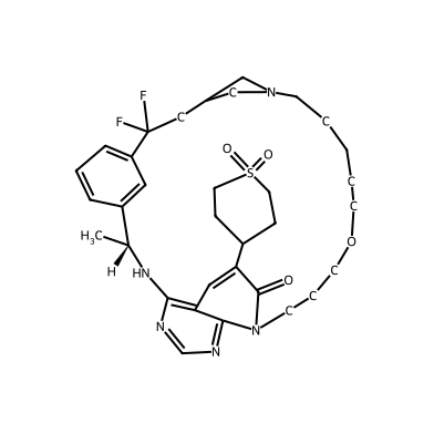 C[C@H]1Nc2ncnc3c2cc(C2CCS(=O)(=O)CC2)c(=O)n3CCCOCCCCCN2CC(C2)CC(F)(F)c2cccc1c2